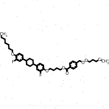 [CH2+][CH-]CCCOOCc1ccc(C(=O)OCCCCOc2ccc(C3CCC(c4ccc(OCCCCCCC)c(F)c4)CC3)cc2F)cc1